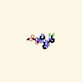 CCOC(=O)CCN(C=O)c1cnccc1Nc1nc(-c2cccc(C(F)F)n2)nn2cccc12